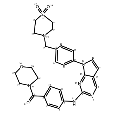 O=C(c1ccc(Nc2ncc3ccn(-c4ccc(CN5CCS(=O)(=O)CC5)cc4)c3n2)cc1)N1CCOCC1